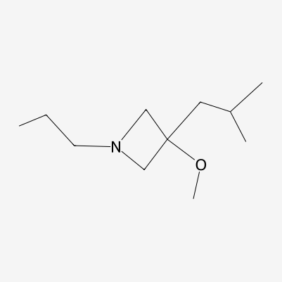 CCCN1CC(CC(C)C)(OC)C1